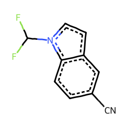 N#Cc1ccc2c(ccn2C(F)F)c1